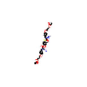 [C-]#[N+]/C(=C\c1ccc(OCCCCOC(=O)C=C)cc1)C(=O)Sc1ccc(OC(=O)/C(C#N)=C/c2ccc(OCCCCOC(=O)C=C)cc2)cc1C